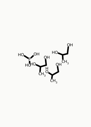 CC(O)CO.CC(O)CO.CC(O)CO.OP(O)O